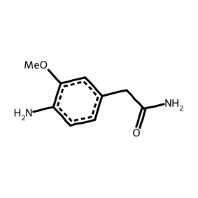 COc1cc(CC(N)=O)ccc1N